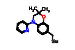 CC(C)(C)Cc1ccc2c(c1)OC(C)(C)CN2c1ccccn1